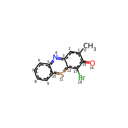 Cc1cc2nc3ccccc3sc-2c(Br)c1=O